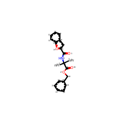 CCCC(CCC)(NC(=O)c1cc2ccccc2o1)C(=O)OCc1ccccc1